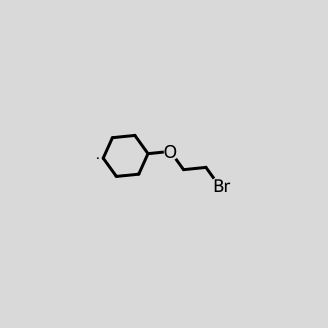 BrCCOC1CC[CH]CC1